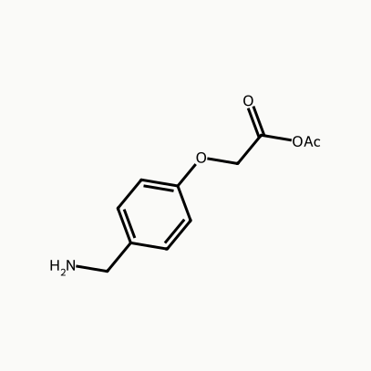 CC(=O)OC(=O)COc1ccc(CN)cc1